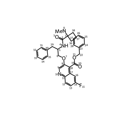 CNC1(C(=O)NC(COc2cnc3ccc(F)cc3c2C(=O)OCc2ccccc2)Cc2ccccc2)CCC1